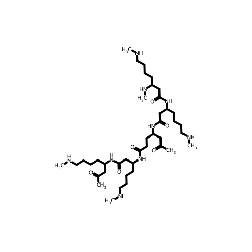 CNCCCCC(CC(=O)NC(CCCCNC)CC(=O)NC(CCC(=O)NC(CCCCNC)CC(=O)NC(CCCCNC)CC(C)=O)CC(C)=O)NC